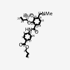 C=CCOC(=O)c1ccc(NC(=O)c2ccc(CNC)c(OCC(C)C)c2OCC=C)cc1